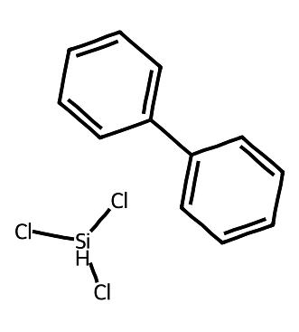 Cl[SiH](Cl)Cl.c1ccc(-c2ccccc2)cc1